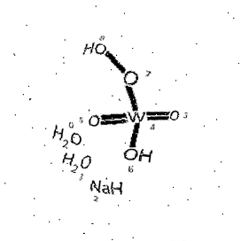 O.O.[NaH].[O]=[W](=[O])([OH])[O]O